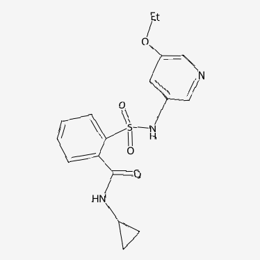 CCOc1cncc(NS(=O)(=O)c2ccccc2C(=O)NC2CC2)c1